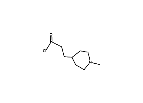 CN1CCC(CCC(=O)Cl)CC1